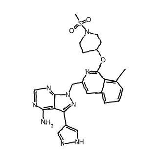 Cc1cccc2cc(Cn3nc(-c4cn[nH]c4)c4c(N)ncnc43)nc(OC3CCN(S(C)(=O)=O)CC3)c12